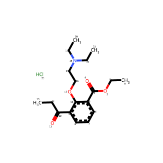 CCOC(=O)c1cccc(C(=O)CC)c1OCCN(CC)CC.Cl